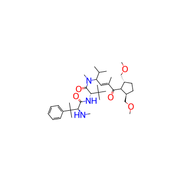 CN[C@H](C(=O)N[C@H](C(=O)N(C)C(/C=C(\C)C(=O)C1[C@H](COC)CC[C@H]1COC)C(C)C)C(C)(C)C)C(C)(C)c1ccccc1